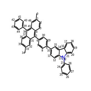 Cc1ccc2c(-c3ccc(-c4ccc5c(c4)c4ccccc4n5-c4ccccc4)cc3)c3cc(C)ccc3c(-c3ccccc3)c2c1